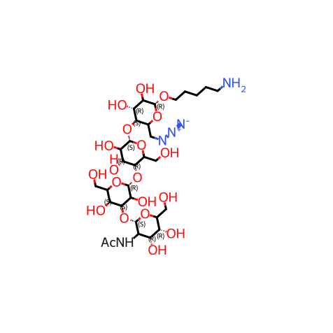 CC(=O)NC1[C@H](O[C@@H]2C(O)[C@@H](O[C@H]3C(CO)O[C@@H](O[C@@H]4C(CN=[N+]=[N-])O[C@@H](OCCCCCN)C(O)[C@H]4O)C(O)[C@H]3O)OC(CO)[C@@H]2O)OC(CO)[C@H](O)[C@@H]1O